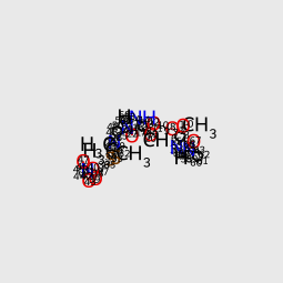 COc1cc2c(cc1OCCCOc1cc3c(cc1OC)C(=O)N1c4cc(N(C)CC(C)(C)SSCCCC(=O)ON5C(=O)CCC5=O)ccc4C[C@H]1CN3)N=C[C@@H]1Cc3ccccc3N1C2=O